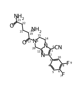 N#Cc1c(-c2ccc(F)c(F)c2)nc2n1CCN(C(=O)[C@@H](N)CCC(N)=O)C2